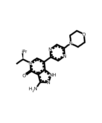 CC(C)[C@H](C)n1cc(-c2cnc(N3CCOCC3)cn2)c2[nH]nc(N)c2c1=O